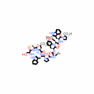 CSCC[C@H](NC(=O)[C@H](Cc1ccc(O)cc1)NC(=O)[C@H](CC(C)C)NC(=O)[C@@H]1CCCN1C(=O)[C@H](Cc1c[nH]c2ccccc12)NC(=O)[C@H](CCC(=O)O)NC(=O)[C@H](CS)NC(=O)[C@@H](N)CO)C(=O)N[C@@H](Cc1c[nH]c2ccccc12)C(=O)N1CCC[C@H]1C(=O)O